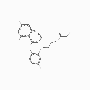 CCC(=O)NCCOc1cc(F)ccc1Nc1ncnc2cc(N)cc(C)c12